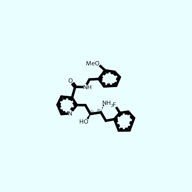 COc1ccccc1CNC(=O)c1cccnc1C[C@H](O)[C@H](N)Cc1ccccc1F